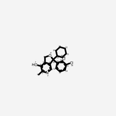 Cc1ncc2c(c1O)COC2(c1cccc(Cl)c1Cl)C1CCCCC1